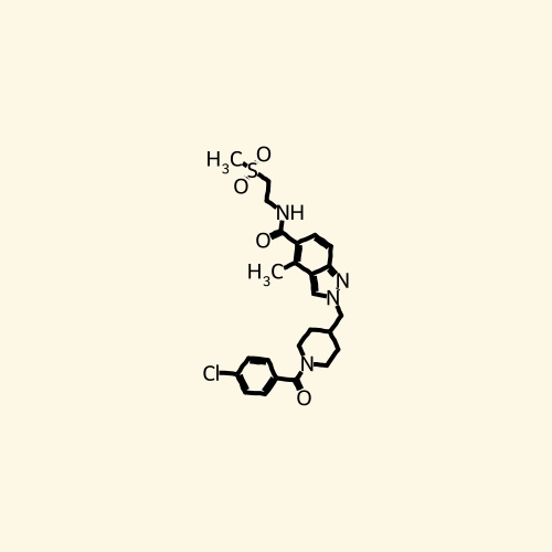 Cc1c(C(=O)NCCS(C)(=O)=O)ccc2nn(CC3CCN(C(=O)c4ccc(Cl)cc4)CC3)cc12